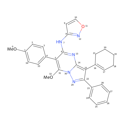 COc1ccc(-c2c(Nc3ccon3)nc3c(C4=CCCCC4)c(-c4ccccc4)nn3c2OC)cc1